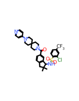 CC1(C)Cc2ccc(C(=O)N3CCC4(CC3)CCN(c3ccncc3)CC4)cc2C1NS(=O)(=O)c1ccc(C(F)(F)F)cc1Cl